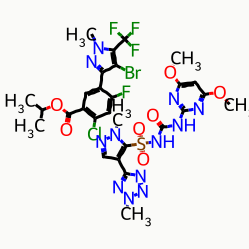 CC(C)OC(=O)c1cc(-c2nn(C)c(C(F)(F)F)c2Br)c(F)cc1Cl.COc1cc(OC)nc(NC(=O)NS(=O)(=O)c2c(-c3nnn(C)n3)cnn2C)n1